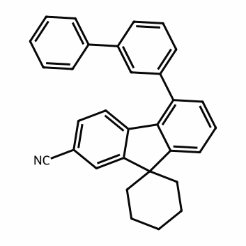 N#Cc1ccc2c(c1)C1(CCCCC1)c1cccc(-c3cccc(-c4ccccc4)c3)c1-2